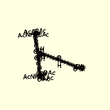 CC(=O)N[C@H]1C(OCCOCCOCCNC(=O)c2cc(NC(=O)CCCCCCCCCCC(=O)NCCCCCCCCCCCC(=O)OCc3ccccc3)cc(C(=O)NCCOCCOCCOC3O[C@H](COC(C)=O)[C@H](OC(C)=O)[C@H](OC(C)=O)[C@H]3NC(C)=O)c2)O[C@H](COC(C)=O)[C@H](OC(C)=O)[C@@H]1OC(C)=O